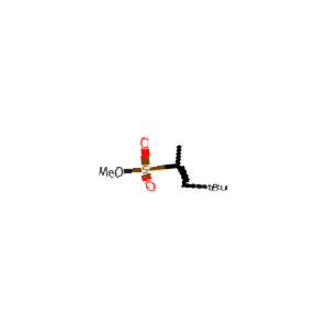 COS(=O)(=O)/C(C)=C/C(C)(C)C